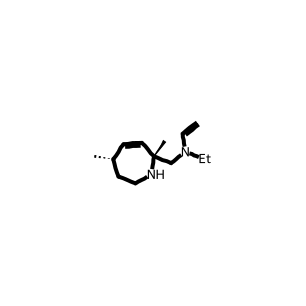 C=CN(CC)C[C@@]1(C)C=C[C@@H](C)CCN1